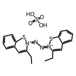 CCC1=Cc2ccccc2S[N+]1=NN=[N+]1Sc2ccccc2C=C1CC.O=S(=O)(O)O